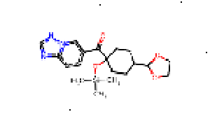 C[Si](C)(C)OC1(C(=O)c2ccc3ncnn3c2)CCC(C2OCCO2)CC1